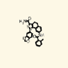 Cc1ccccc1C(=O)Nc1ccc2c(c1)-c1c(c(C(N)=O)nn1-c1ccc3c(c1)OCO3)CC2